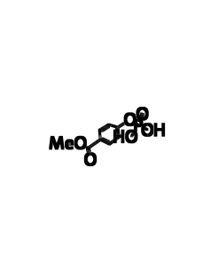 COC(=O)c1ccc(OP(=O)(O)O)cc1